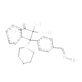 NN=Cc1ccc(C(c2ccccc2)(N2CCCCC2)C(N)(C(=O)O)C(=O)C=O)cc1